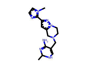 CC1N=C(N)C(CN2CCn3nc(-c4nccn4C)cc3C2)=CN1